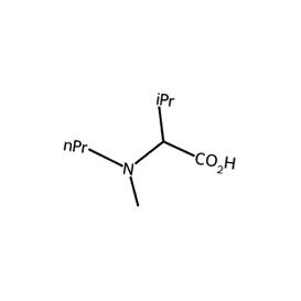 CCCN(C)C(C(=O)O)C(C)C